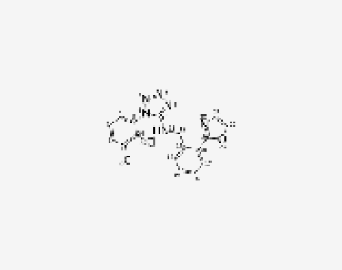 Clc1cccc(-n2nnnc2NCc2ccccc2-c2ncco2)c1Cl